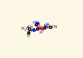 CC1(C)CCC(CN2CCN(c3ccc(C(=O)NS(=O)(=O)c4ccc(NC[C@H]5CC[C@H](C#N)CC5)c([N+](=O)[O-])c4)c(Oc4cccc5[nH]cnc45)c3)CC2)=C(c2ccc(Cl)cc2)C1